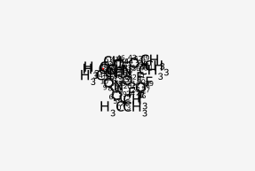 CC(C)(C)c1ccc2c3ccc(C(C)(C)C)cc3n(-c3cc(-c4c(F)c(F)cc(F)c4F)cc(-n4c5cc(C(C)(C)C)ccc5c5ccc(C(C)(C)C)cc54)c3C#N)c2c1